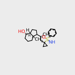 C[C@H](CC1(S(=N)(=O)c2ccccc2)CC1)C1CC[C@H]2[C@@H](O)CCC[C@]12C